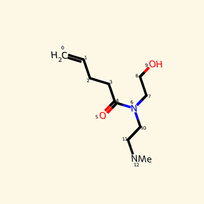 C=CCCC(=O)N(CCO)CCNC